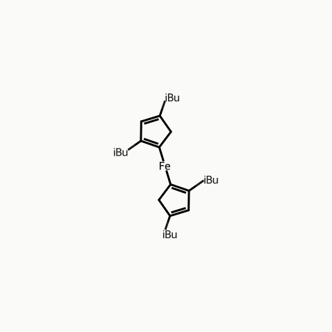 CCC(C)C1=CC(C(C)CC)=[C]([Fe][C]2=C(C(C)CC)C=C(C(C)CC)C2)C1